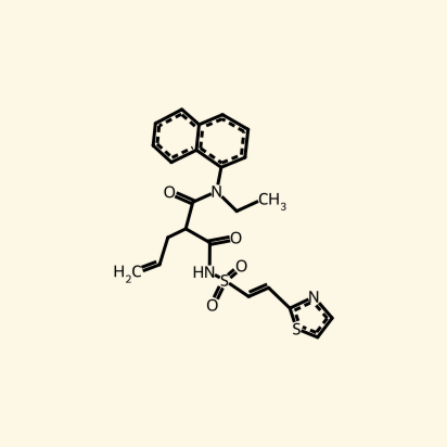 C=CCC(C(=O)NS(=O)(=O)C=Cc1nccs1)C(=O)N(CC)c1cccc2ccccc12